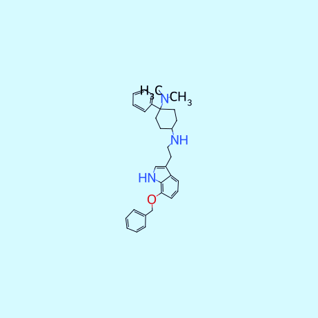 CN(C)C1(c2ccccc2)CCC(NCCc2c[nH]c3c(OCc4ccccc4)cccc23)CC1